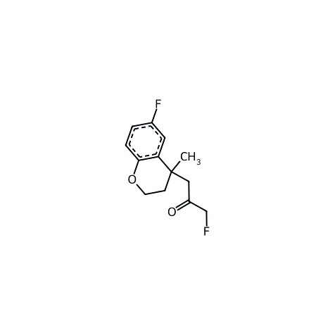 CC1(CC(=O)CF)CCOc2ccc(F)cc21